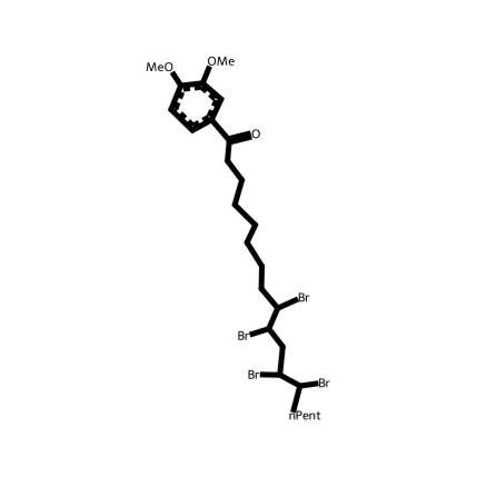 CCCCCC(Br)C(Br)CC(Br)C(Br)CCCCCCCC(=O)c1ccc(OC)c(OC)c1